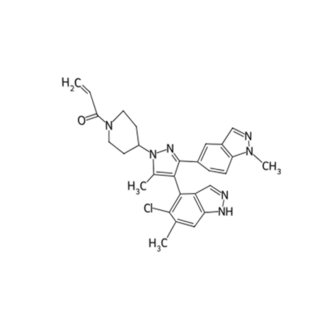 C=CC(=O)N1CCC(n2nc(-c3ccc4c(cnn4C)c3)c(-c3c(Cl)c(C)cc4[nH]ncc34)c2C)CC1